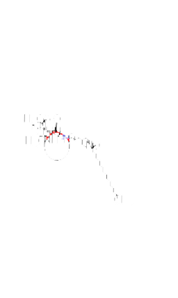 CCCCCCCCCCCCCCCC(=O)N1CCC(CCOC23CCCCCCCCCCCC(C)(CCCCCC2)NC(=O)[C@@H](NC(C)=O)CCC(=O)NC/C=N/3)CC1